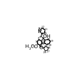 COc1ccc(C(O)(Cc2cccnn2)c2ccccc2)cc1OC1CCCC1